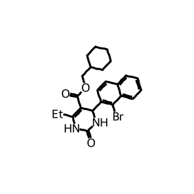 CCC1=C(C(=O)OCC2CCCCC2)C(c2ccc3ccccc3c2Br)NC(=O)N1